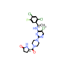 C[C@@H](Nc1nc(N2CCN(C(=O)[C@H]3CCC(=O)N3)CC2)ncc1Cl)c1cc(F)c(Cl)cc1Cl